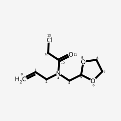 C=CCN(CC1OCCO1)C(=O)CCl